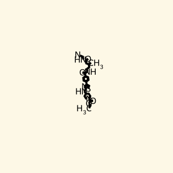 CCOC(=O)N1CCC(Nc2nc(-c3ccc(C(=O)NCCC(C)CC(=O)NCC#N)cc3)cs2)CC1